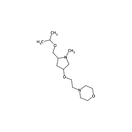 CC(C)OCC1CC(OCCN2CCOCC2)CN1C